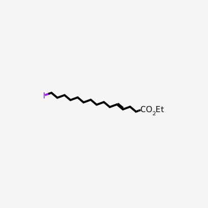 CCOC(=O)CCC=CCCCCCCCCCCI